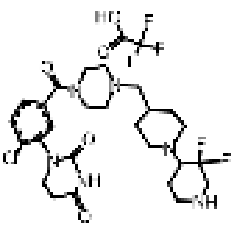 O=C(O)C(F)(F)F.O=C1CCN(c2cc(C(=O)N3CCN(CC4CCN(C5CCNCC5(F)F)CC4)CC3)ccc2Cl)C(=O)N1